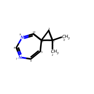 CC1(C)CC12C=CN=CN=C2